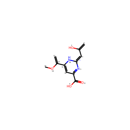 C=C(O)/C=C1/N=C(C(=O)O)C=C(C(=C)OC)N1